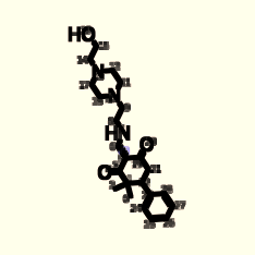 CC1(C)C(=O)/C(=C/NCCN2CCN(CCO)CC2)C(=O)CC1c1ccccc1